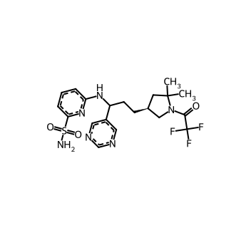 CC1(C)C[C@H](CCC(Nc2cccc(S(N)(=O)=O)n2)c2cncnc2)CN1C(=O)C(F)(F)F